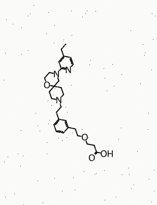 CCc1ccnc(N2CCOC3(CCN(CCc4cccc(CCOCCC(=O)O)c4)CC3)C2)c1